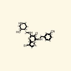 CCc1cnn2c(NCc3cccc(C#N)c3)c(Cl)c(NC[C@H]3CCNC[C@@H]3O)nc12